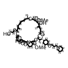 CO[C@@H]1C[C@H](C[C@@H](C)[C@@H]2CC(=O)[C@H](C)/C=C(\C)[C@@H](O)[C@@H](OC)C(=O)[C@H](C)C[C@H](C)/C=C/C=C/C=C(\C)C(OCCO)C[C@@H]3CC[C@@H](C)[C@@](O)(O3)C(=O)C(=O)N3CCCCC3C(=O)O2)CC[C@H]1OCCCN1CCCCC1